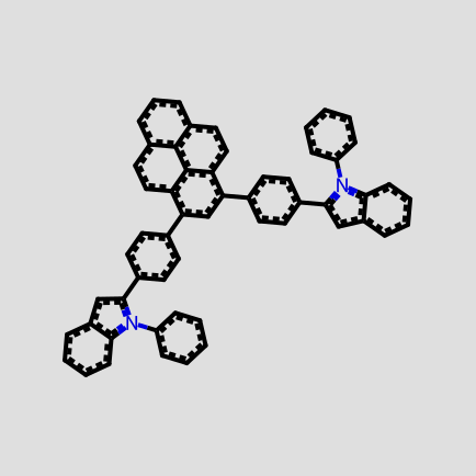 c1ccc(-n2c(-c3ccc(-c4cc(-c5ccc(-c6cc7ccccc7n6-c6ccccc6)cc5)c5ccc6cccc7ccc4c5c76)cc3)cc3ccccc32)cc1